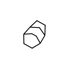 C1CC2CCC1C1CCC2C1